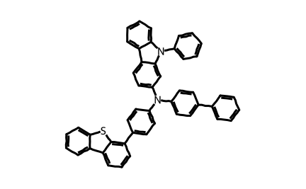 c1ccc(-c2ccc(N(c3ccc(-c4cccc5c4sc4ccccc45)cc3)c3ccc4c5ccccc5n(-c5ccccc5)c4c3)cc2)cc1